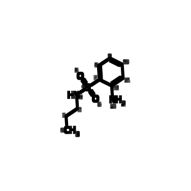 CCCNS(=O)(=O)c1ccccc1N